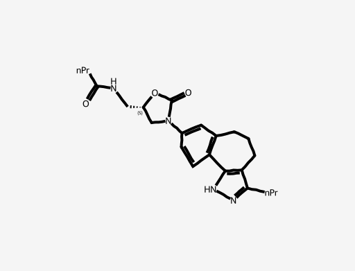 CCCC(=O)NC[C@H]1CN(c2ccc3c(c2)CCCc2c(CCC)n[nH]c2-3)C(=O)O1